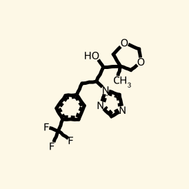 CC1(C(O)C(Cc2ccc(C(F)(F)F)cc2)n2cncn2)COCOC1